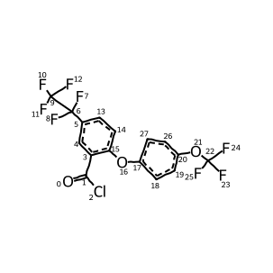 O=C(Cl)c1cc(C(F)(F)C(F)(F)F)ccc1Oc1ccc(OC(F)(F)F)cc1